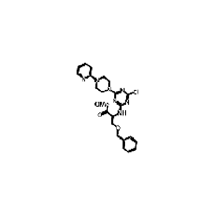 COC(=O)C(COCc1ccccc1)Nc1nc(Cl)nc(N2CCN(c3ccccn3)CC2)n1